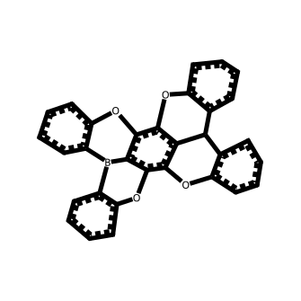 c1ccc2c(c1)Oc1c3c4c(c5c1B2c1ccccc1O5)Oc1ccccc1C4c1ccccc1O3